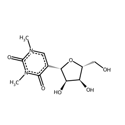 Cn1cc([C@@H]2O[C@H](CO)[C@@H](O)[C@H]2O)c(=O)n(C)c1=O